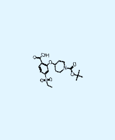 CCS(=O)(=O)c1ccc(C(=O)O)c(OC2CCN(C(=O)OC(C)(C)C)CC2)c1